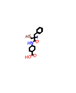 O=C(O)C1CCC(NC(=O)C(I)(CS)Cc2ccccc2)CC1